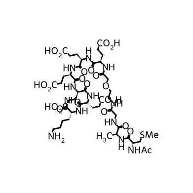 CSC[C@H](NC(C)=O)C(=O)N[C@@H](C)C(=O)NCC(=O)NCCOCC(=O)N[C@H](CCC(=O)O)C(=O)N[C@H](CCC(=O)O)C(=O)N[C@H](CCC(=O)O)C(=O)N[C@H](CCC(=O)O)C(=O)N[C@H](CCC(=O)O)C(=O)N[C@H](CCCCN)C(N)=O